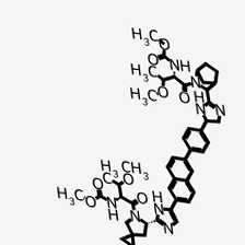 COC(=O)N[C@H](C(=O)N1C2CCC(C2)C1C1=NCC(c2ccc(-c3ccc4cc(-c5cnc([C@@H]6CC7(CC7)CN6C(=O)[C@@H](NC(=O)OC)C(C)OC)[nH]5)ccc4c3)cc2)N1)C(C)OC